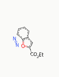 CCOC(=O)c1cc2ccccc2o1.N#N